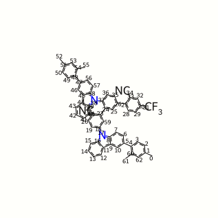 Cc1ccc(-c2ccc3c(c2)c2ccccc2n3-c2ccc(C#N)c(-c3cc(-c4ccc(C(F)(F)F)cc4C#N)ccc3-n3c4ccccc4c4cc(-c5ccc(C)cc5C)ccc43)c2)c(C)c1